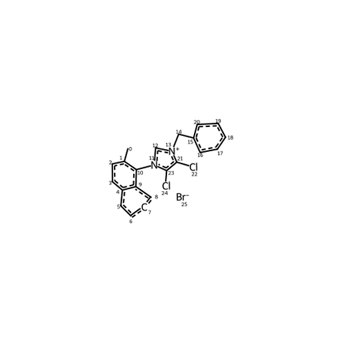 Cc1ccc2ccccc2c1-n1c[n+](Cc2ccccc2)c(Cl)c1Cl.[Br-]